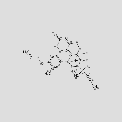 C=CCOc1ccc([C@H]2C[C@@]3(C)[C@@H](CC[C@]3(O)C#CC)[C@@H]3CCC4=CC(=O)CCC4=C32)cc1C